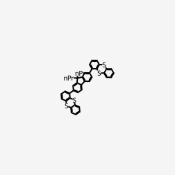 CCCC1(CCC)c2cc(-c3cccc4c3Sc3ccccc3S4)ccc2-c2ccc(-c3cccc4c3Sc3ccccc3S4)cc21